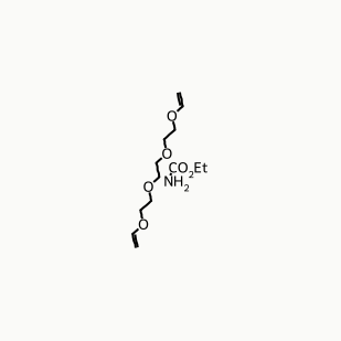 C=COCCOCCOCCOC=C.CCOC(N)=O